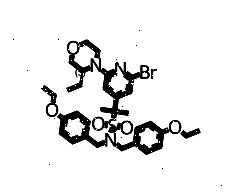 CCOc1ccc(CN(Cc2ccc(OCC)cc2)S(=O)(=O)C(C)(C)c2cc(Br)nc(N3CCOC[C@@H]3CC)c2)cc1